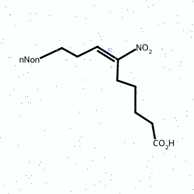 CCCCCCCCCCC/C=C(\CCCCC(=O)O)[N+](=O)[O-]